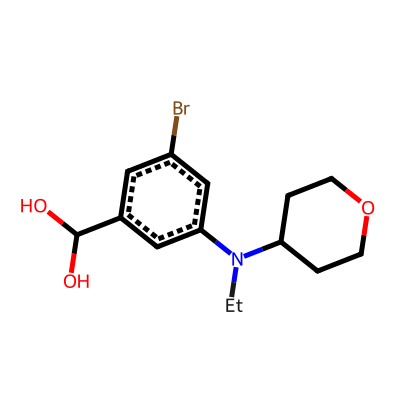 CCN(c1cc(Br)cc(C(O)O)c1)C1CCOCC1